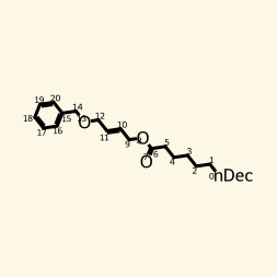 CCCCCCCCCCCCCCCC(=O)OC/C=C/COCc1ccccc1